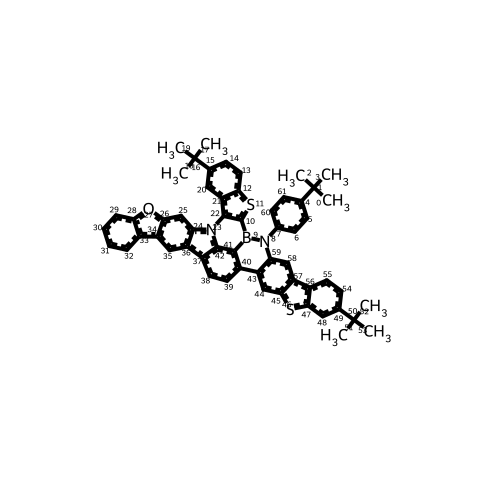 CC(C)(C)c1ccc(N2B3c4sc5ccc(C(C)(C)C)cc5c4-n4c5cc6oc7ccccc7c6cc5c5ccc(c3c54)-c3cc4sc5cc(C(C)(C)C)ccc5c4cc32)cc1